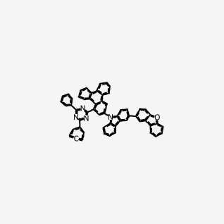 c1ccc(-c2nc(-c3ccccc3)nc(-c3cc(-n4c5ccccc5c5cc(-c6ccc7oc8ccccc8c7c6)ccc54)cc4c5ccccc5c5ccccc5c34)n2)cc1